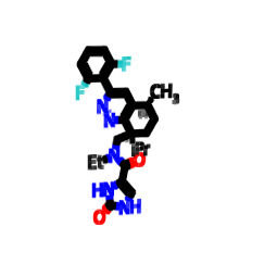 CCN(C[C@@]1(C(C)C)CC[C@H](C)c2cc(-c3c(F)cccc3F)nnc21)C(=O)c1c[nH]c(=O)[nH]1